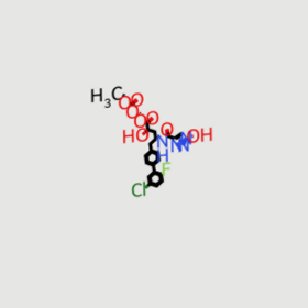 CCOC(=O)OCOC(=O)C(O)CC(Cc1ccc(-c2cc(Cl)ccc2F)cc1)NC(=O)c1cn(O)nn1